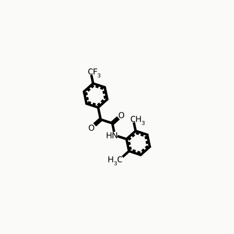 Cc1cccc(C)c1NC(=O)C(=O)c1ccc(C(F)(F)F)cc1